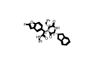 CC(C)C[C@@H]1C(=O)N[C@H](C2Cc3ccccc3C2)C(=O)N1[C@@H](C(=O)NC(C)C)c1ccc2oc(F)cc2c1